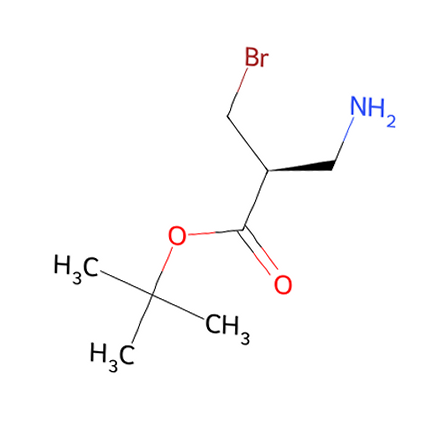 CC(C)(C)OC(=O)[C@H](CN)CBr